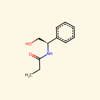 CCC(=O)N[C@@H](CO)c1ccccc1